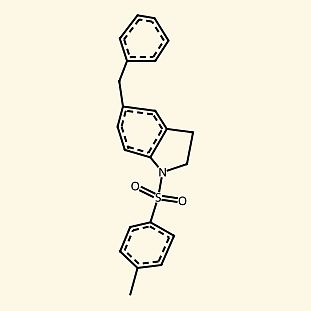 Cc1ccc(S(=O)(=O)N2CCc3cc(Cc4ccccc4)ccc32)cc1